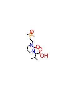 CC(C)C(C(=O)O)N1CCCN(CCP(C)(C)=O)C1=O